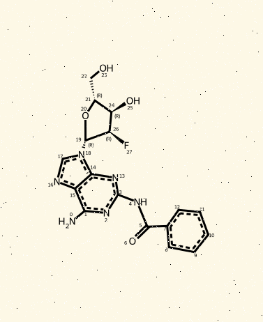 Nc1nc(NC(=O)c2ccccc2)nc2c1ncn2[C@@H]1O[C@H](CO)[C@@H](O)[C@H]1F